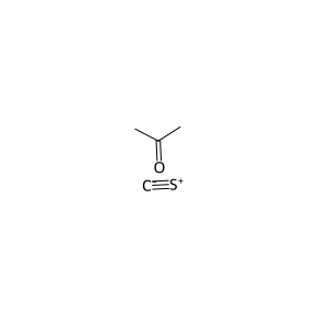 CC(C)=O.[C-]#[S+]